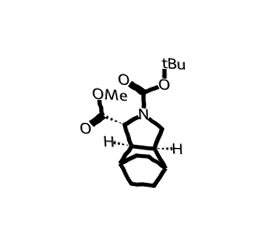 COC(=O)[C@H]1[C@@H]2C3CCC(CC3)[C@@H]2CN1C(=O)OC(C)(C)C